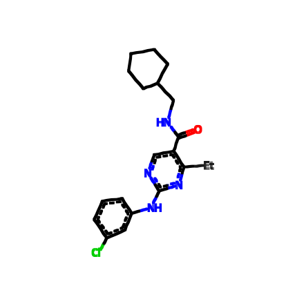 CCc1nc(Nc2cccc(Cl)c2)ncc1C(=O)NCC1CCCCC1